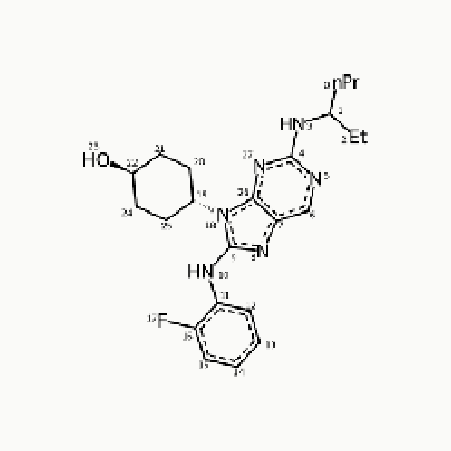 CCCC(CC)Nc1ncc2nc(Nc3ccccc3F)n([C@H]3CC[C@H](O)CC3)c2n1